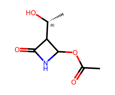 CC(=O)OC1NC(=O)C1[C@@H](C)O